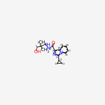 CC(C)(CO)CNC(=O)c1nc(C2CC2)n2ccccc12